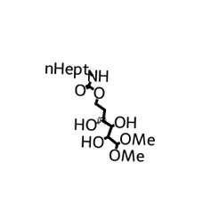 CCCCCCCNC(=O)OCC[C@@H](O)C(O)C(O)C(OC)OC